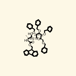 C[C@@H](NC(=O)OCC1c2ccccc2-c2ccccc21)C(O)=[SH][C@H]1O[C@H](COCc2ccccc2)[C@@H](OCc2ccccc2)[C@H](OCc2ccccc2)[C@H]1OCc1ccccc1